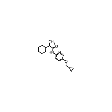 CC(C(=O)Nc1ccc(OCC2CC2)nn1)C1CCCCC1